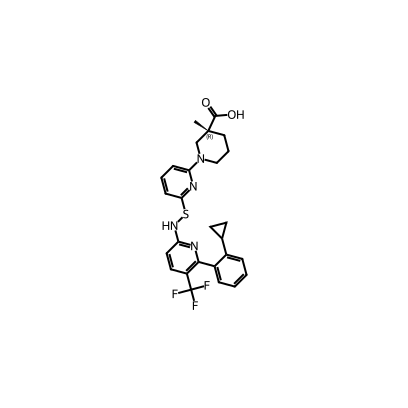 C[C@@]1(C(=O)O)CCCN(c2cccc(SNc3ccc(C(F)(F)F)c(-c4ccccc4C4CC4)n3)n2)C1